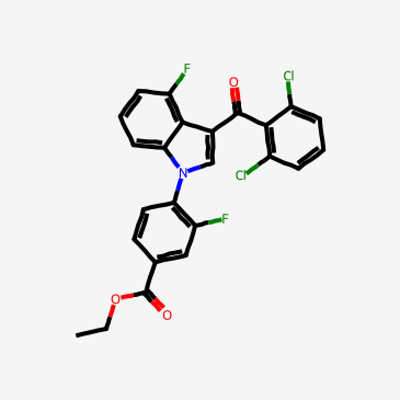 CCOC(=O)c1ccc(-n2cc(C(=O)c3c(Cl)cccc3Cl)c3c(F)cccc32)c(F)c1